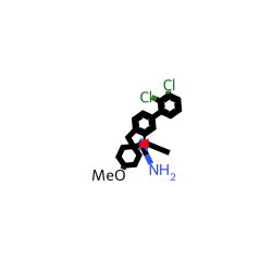 COC1CCC2(CC1)Cc1ccc(-c3cccc(Cl)c3Cl)cc1[C@@]21N=C(C)C(N)=N1